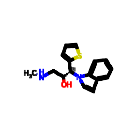 CNCC(O)[C@H](c1cccs1)n1ccc2ccccc21